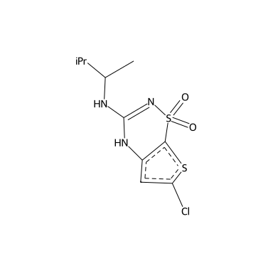 CC(C)C(C)NC1=NS(=O)(=O)c2sc(Cl)cc2N1